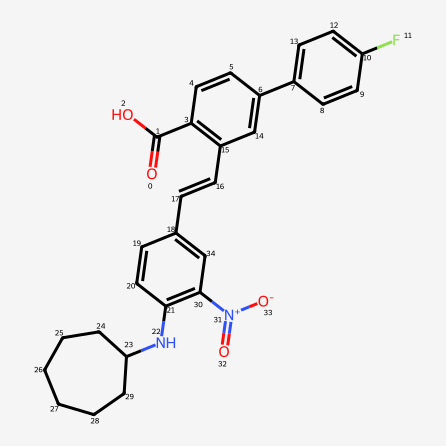 O=C(O)c1ccc(-c2ccc(F)cc2)cc1C=Cc1ccc(NC2CCCCCC2)c([N+](=O)[O-])c1